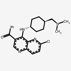 CC(C)C(=O)c1cnc2ccc(Cl)nc2c1N[C@H]1CC[C@H](CN(C)C)CC1